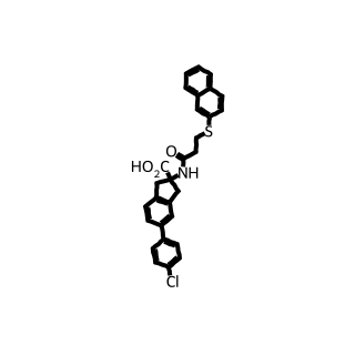 O=C(CCSc1ccc2ccccc2c1)NC1(C(=O)O)Cc2ccc(-c3ccc(Cl)cc3)cc2C1